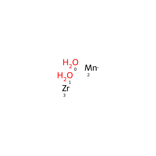 O.O.[Mn].[Zr]